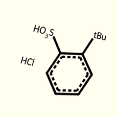 CC(C)(C)c1ccccc1S(=O)(=O)O.Cl